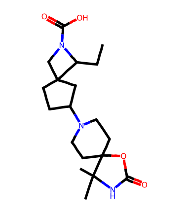 CCC1N(C(=O)O)CC12CCC(N1CCC3(CC1)OC(=O)NC3(C)C)C2